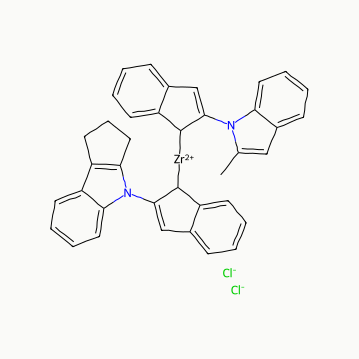 Cc1cc2ccccc2n1C1=Cc2ccccc2[CH]1[Zr+2][CH]1C(n2c3c(c4ccccc42)CCC3)=Cc2ccccc21.[Cl-].[Cl-]